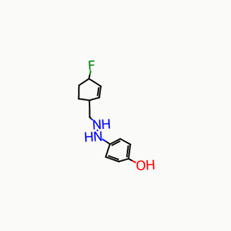 Oc1ccc(NNCC2C=CC(F)CC2)cc1